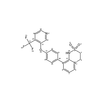 O=S1(=O)CC[n+]2cccc(-c3ccc(Oc4cnccc4C(F)(F)F)cc3)c2N1